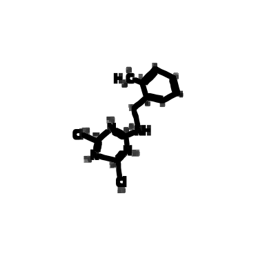 Cc1ccccc1CNc1nc(Cl)nc(Cl)n1